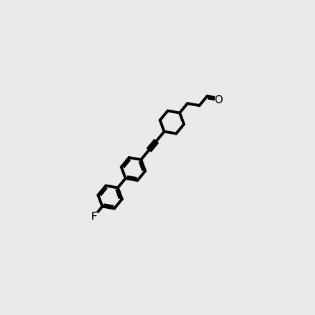 O=CCCC1CCC(C#Cc2ccc(-c3ccc(F)cc3)cc2)CC1